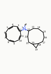 CN(c1ccccccccc1)C1CCCCCC2CC2CC1